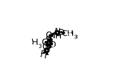 CCOc1ccc(CNC(=O)c2cn3c(=O)n(Cc4ccc(F)c(F)c4)c(=O)c(C)c3s2)cn1